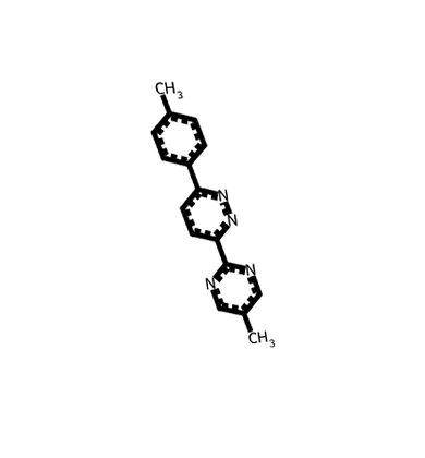 Cc1ccc(-c2ccc(-c3ncc(C)cn3)nn2)cc1